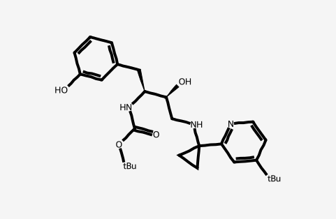 CC(C)(C)OC(=O)N[C@@H](Cc1cccc(O)c1)[C@@H](O)CNC1(c2cc(C(C)(C)C)ccn2)CC1